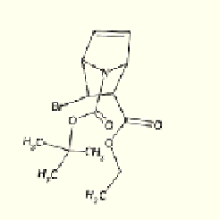 CCOC(=O)C1C(Br)C2C=CC1N2C(=O)OC(C)(C)C